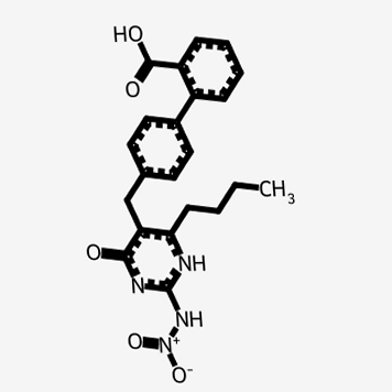 CCCCc1[nH]c(N[N+](=O)[O-])nc(=O)c1Cc1ccc(-c2ccccc2C(=O)O)cc1